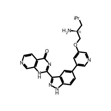 CC(C)C[C@H](N)COc1cncc(-c2ccc3[nH]nc(-c4nc(=O)c5ccncc5[nH]4)c3c2)c1